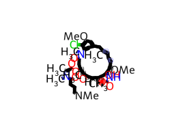 CNCCCC(=O)N(C)[C@@H](C)C(=O)O[C@@H]1CC(=O)N(C)c2cc(cc(OC)c2Cl)C/C(C)=C/C=C/[C@@H](OC)[C@@]2(O)C[C@H](OC(=O)N2)[C@@H](C)[C@@H]2O[C@@]12C